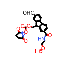 O=Cc1ccc2c(c1)C(COC(=O)ON1C(=O)CCC1=O)c1cc(C(=O)NCCOO)ccc1-2